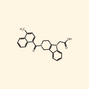 Cc1ccc(C(=O)N2CCc3c(c4ccccc4n3CC(=O)O)C2)c2ccccc12